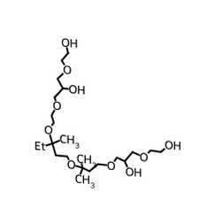 CCC(C)(CCOC(C)(C)CCOCC(O)COCCO)OCCOCC(O)COCCO